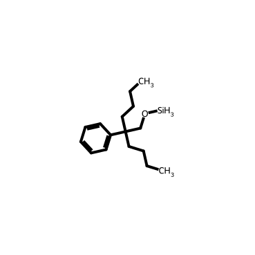 CCCCC(CCCC)(CO[SiH3])c1ccccc1